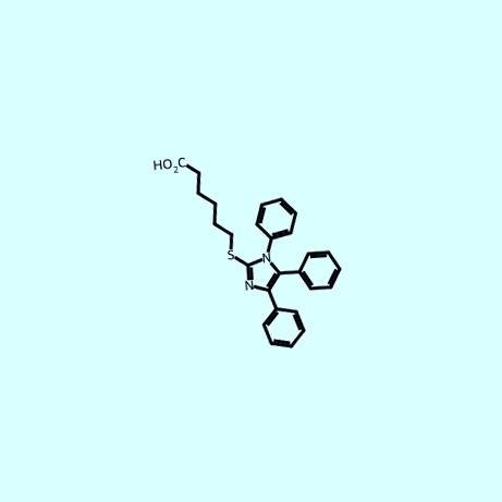 O=C(O)CCCCCSc1nc(-c2ccccc2)c(-c2ccccc2)n1-c1ccccc1